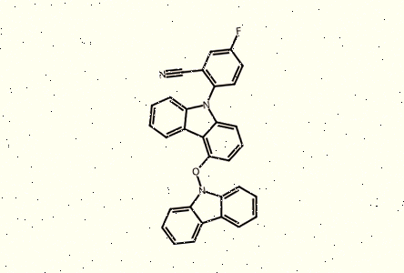 N#Cc1cc(F)ccc1-n1c2ccccc2c2c(On3c4ccccc4c4ccccc43)cccc21